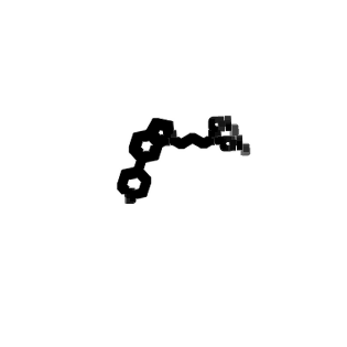 CN(C)CCCn1ccc2ccc(C3=CCSCC3)cc21